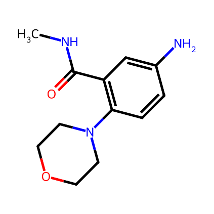 CNC(=O)c1cc(N)ccc1N1CCOCC1